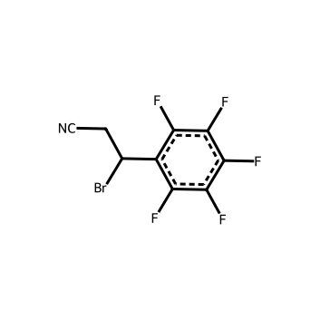 N#CCC(Br)c1c(F)c(F)c(F)c(F)c1F